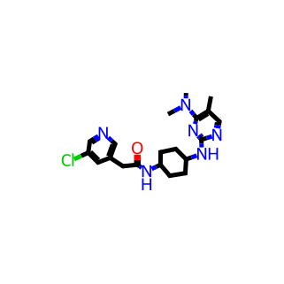 Cc1cnc(NC2CCC(NC(=O)Cc3cncc(Cl)c3)CC2)nc1N(C)C